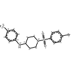 O=S(=O)(c1ccc(Br)cc1)N1CCC(Nc2ccc(C(F)(F)F)cc2)CC1